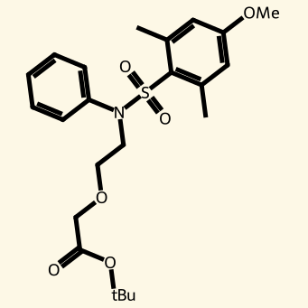 COc1cc(C)c(S(=O)(=O)N(CCOCC(=O)OC(C)(C)C)c2ccccc2)c(C)c1